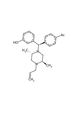 C=CCN1C[C@H](C)N([C@H](c2ccc(C(C)=O)cc2)c2cccc(O)c2)C[C@H]1C